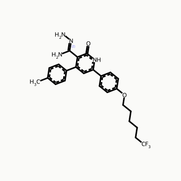 Cc1ccc(-c2cc(-c3ccc(OCCCCCC(F)(F)F)cc3)[nH]c(=O)c2/C(N)=N/N)cc1